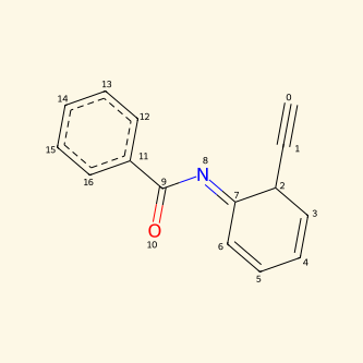 C#CC1C=CC=CC1=NC(=O)c1ccccc1